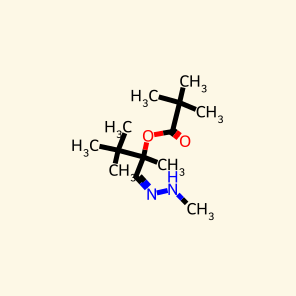 CN/N=C\C(C)(OC(=O)C(C)(C)C)C(C)(C)C